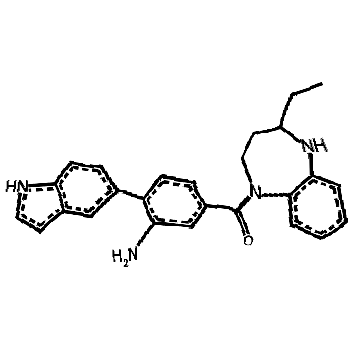 CCC1CCN(C(=O)c2ccc(-c3ccc4[nH]ccc4c3)c(N)c2)c2ccccc2N1